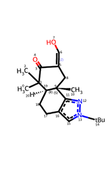 CC1(C)C(=O)/C(=C\O)C[C@]2(C)c3nn(C(C)(C)C)cc3CC[C@@H]12